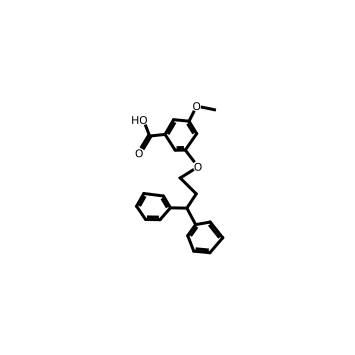 COc1cc(OCCC(c2ccccc2)c2ccccc2)cc(C(=O)O)c1